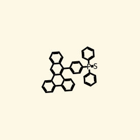 S=P(c1ccccc1)(c1ccccc1)c1ccc(-c2c3ccccc3cc3c4ccccc4c4ccccc4c23)cc1